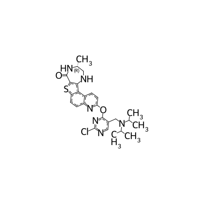 CC(C)N(Cc1cnc(Cl)nc1Oc1ccc2c(ccc3sc4c(c32)NC[C@@H](C)NC4=O)n1)C(C)C